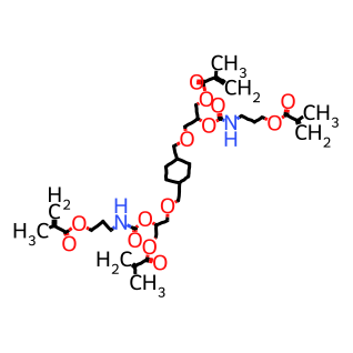 C=C(C)C(=O)OCCCNC(=O)OC(COCC1CCC(COCC(COC(=O)C(=C)C)OC(=O)NCCCOC(=O)C(=C)C)CC1)COC(=O)C(=C)C